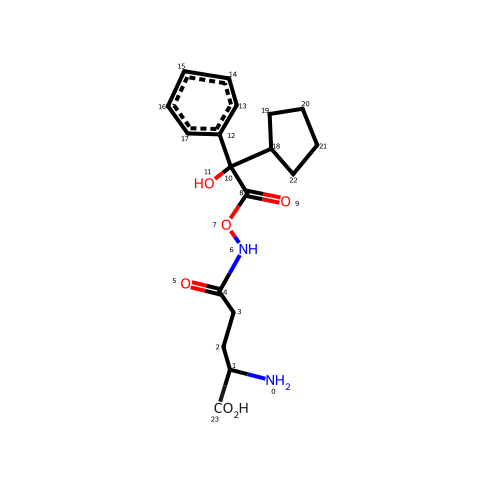 NC(CCC(=O)NOC(=O)C(O)(c1ccccc1)C1CCCC1)C(=O)O